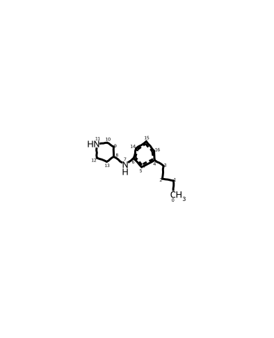 CCCCc1[c]c(NC2CCNCC2)ccc1